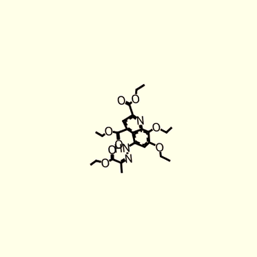 CCOC(=O)/C(C)=N\Nc1cc(OCC)c(OCC)c2nc(C(=O)OCC)cc(C(=O)OCC)c12